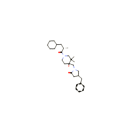 C[C@H](CC1CCCCC1)C(=O)N1CCC(O)(CN2CC(Cc3ccccc3)CC2=O)C(C)(C)C1